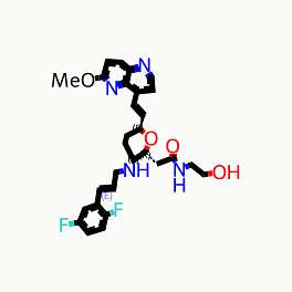 COc1ccc2nccc(C=C[C@@H]3CC[C@@H](NC/C=C/c4cc(F)ccc4F)[C@@H](CC(=O)NCCO)O3)c2n1